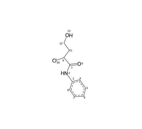 O=C(Nc1ccccc1)C(Cl)CCO